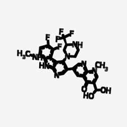 CNc1cc(F)c(F)c2c1[nH]c1ncc(-c3cnc4c(c3)c(=O)c(C(O)O)cn4C)c(N3CCN[C@H](C(F)(F)F)C3)c12